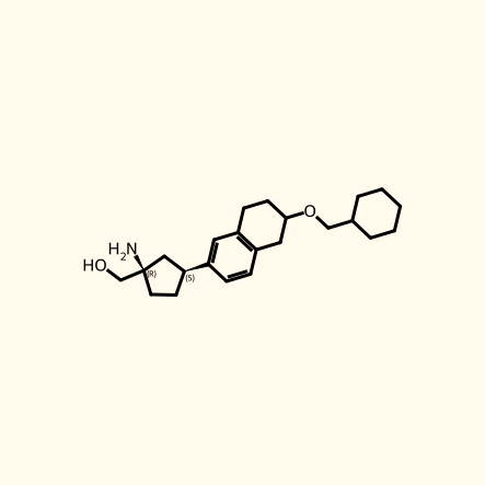 N[C@]1(CO)CC[C@H](c2ccc3c(c2)CCC(OCC2CCCCC2)C3)C1